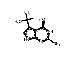 CC(C)(C)c1c[nH]c2nc(N)[nH]c(=O)c12